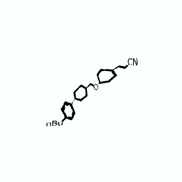 CCCCc1ccc([C@H]2CC[C@H](CO[C@H]3CC[C@H](/C=C/C#N)CC3)CC2)cc1